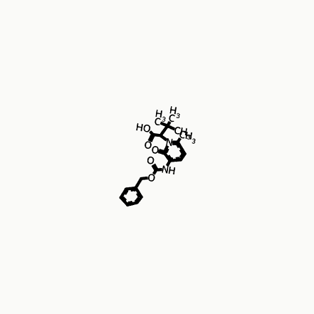 Cc1ccc(NC(=O)OCc2ccccc2)c(=O)n1C(C(=O)O)C(C)(C)C